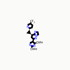 COc1ncc(-c2cc([C@H]3C[C@@H]3c3ccc(C(F)(F)F)cn3)c3nccn3n2)c(OC)n1